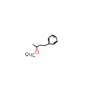 CC(CCc1ccccc1)O[C]=O